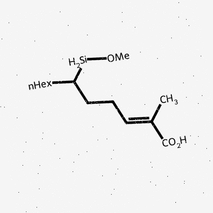 CCCCCCC(CCC=C(C)C(=O)O)[SiH2]OC